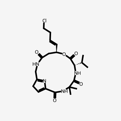 CC(C)[C@@H]1NC(=O)C(C)(C)NC(=O)C2=CCC(=N2)CNC(=O)C[C@@H](/C=C/CCCl)OC1=O